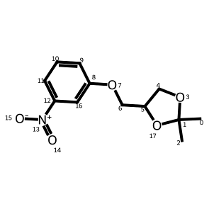 CC1(C)OCC(COc2cccc([N+](=O)[O-])c2)O1